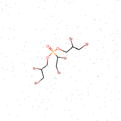 O=P(OCC(Br)CBr)(OCC(Br)CBr)C(Br)CBr